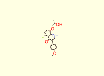 COc1ccc(-c2c[nH]c3c(OCC(C)O)ccc(F)c3c2=O)cc1